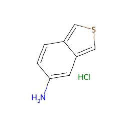 Cl.Nc1ccc2cscc2c1